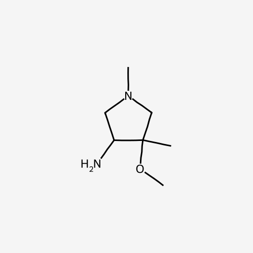 COC1(C)CN(C)CC1N